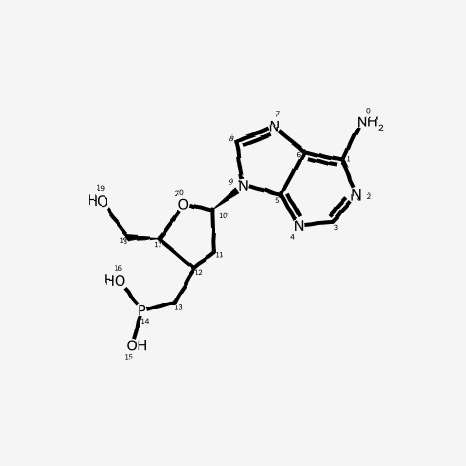 Nc1ncnc2c1ncn2[C@H]1CC(CP(O)O)[C@@H](CO)O1